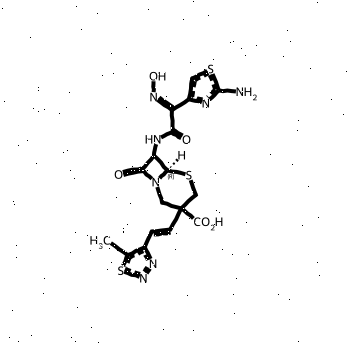 Cc1snnc1C=CC1(C(=O)O)CS[C@@H]2C(NC(=O)C(=NO)c3csc(N)n3)C(=O)N2C1